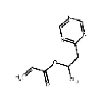 C=CC(=O)OC(C)Cc1ncncn1